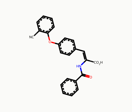 N#Cc1ccccc1Oc1ccc(/C=C(\NC(=O)c2ccccc2)C(=O)O)cc1